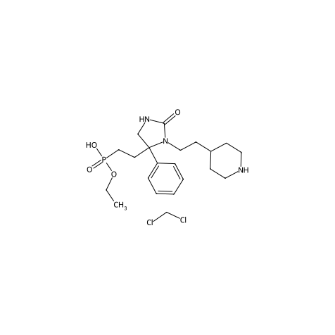 CCOP(=O)(O)CCC1(c2ccccc2)CNC(=O)N1CCC1CCNCC1.ClCCl